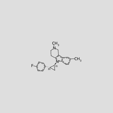 Cc1ccc2c(c1)c1c(n2[C@H]2C[C@@H]2c2ccc(F)cc2)CCN(C)C1